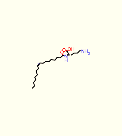 CCCCCCCC/C=C\CCCCCCCC(=O)N[C@@H](CCCCN)C(=O)O